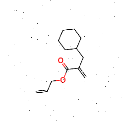 C=CCOC(=O)C(=C)CC1CCCCC1